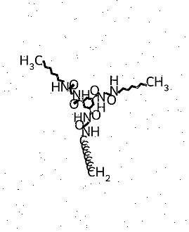 C=C=C=C=C=C=C=CNC(=O)CNC(=O)[C@H]1C[C@@H](C(=O)NCC(=O)NCCCCCCCC)C[C@@H](C(=O)NCC(=O)NCCCCCCCC)C1